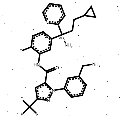 NCc1cccc(-n2nc(C(F)(F)F)cc2C(=O)Nc2cc([C@](N)(CCC3CC3)c3ccccn3)ccc2F)c1